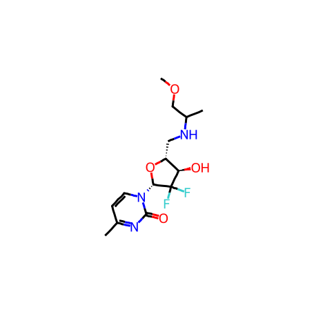 COCC(C)NC[C@H]1O[C@@H](n2ccc(C)nc2=O)C(F)(F)[C@@H]1O